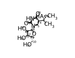 C[AsH]C(C)c1cn([C@@H]2O[C@H](CO)[C@@H](O)[C@H]2O)c(=O)[nH]c1=O